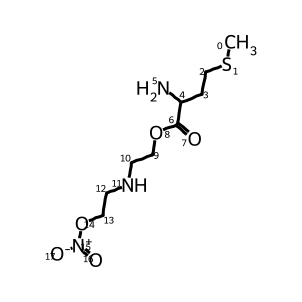 CSCCC(N)C(=O)OCCNCCO[N+](=O)[O-]